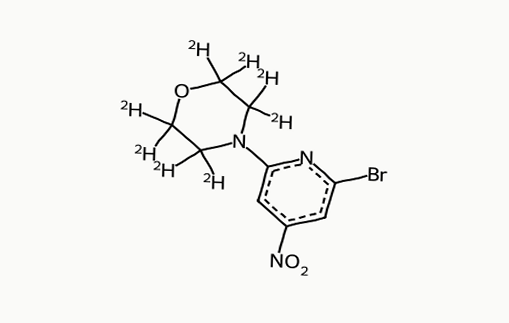 [2H]C1([2H])OC([2H])([2H])C([2H])([2H])N(c2cc([N+](=O)[O-])cc(Br)n2)C1([2H])[2H]